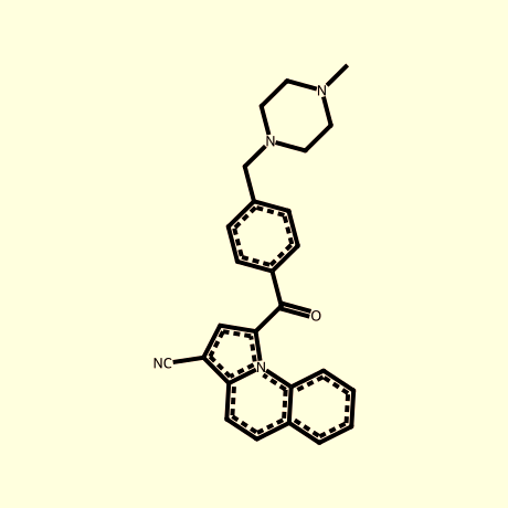 CN1CCN(Cc2ccc(C(=O)c3cc(C#N)c4ccc5ccccc5n34)cc2)CC1